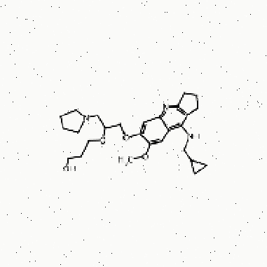 COc1cc2c(NCC3CC3)c3c(nc2cc1OCC(CN1CCCC1)OCCCO)CCC3